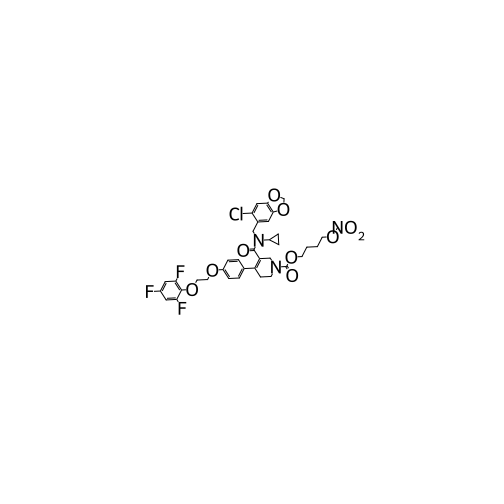 O=C(OCCCCO[N+](=O)[O-])N1CCC(c2ccc(OCCOc3c(F)cc(F)cc3F)cc2)=C(C(=O)N(Cc2cc3c(cc2Cl)OCO3)C2CC2)C1